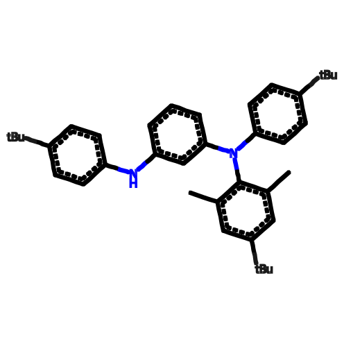 Cc1cc(C(C)(C)C)cc(C)c1N(c1ccc(C(C)(C)C)cc1)c1cccc(Nc2ccc(C(C)(C)C)cc2)c1